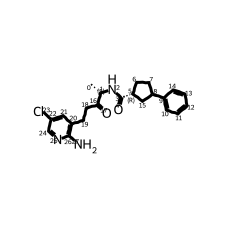 C[C@H](NC(=O)[C@@H]1CCC(c2ccccc2)C1)C(=O)CCc1cc(Cl)cnc1N